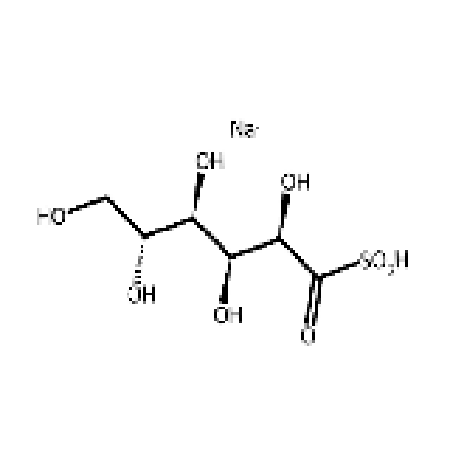 O=C([C@H](O)[C@@H](O)[C@H](O)[C@H](O)CO)S(=O)(=O)O.[Na]